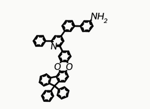 Nc1cccc(-c2cccc(-c3cc(-c4ccccc4)nc(-c4ccc5c(c4)Oc4c(ccc6c4-c4ccccc4C6(c4ccccc4)c4ccccc4)O5)c3)c2)c1